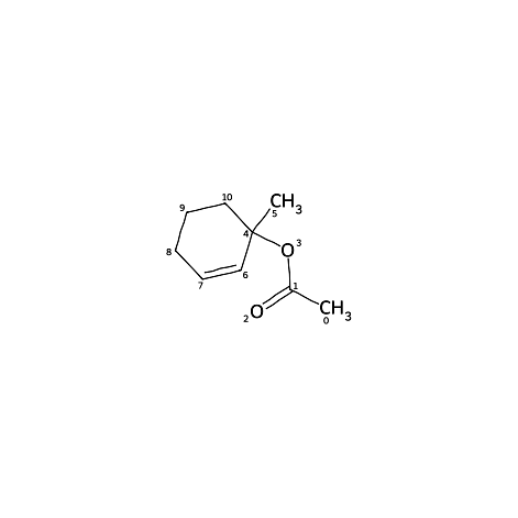 CC(=O)OC1(C)C=CCCC1